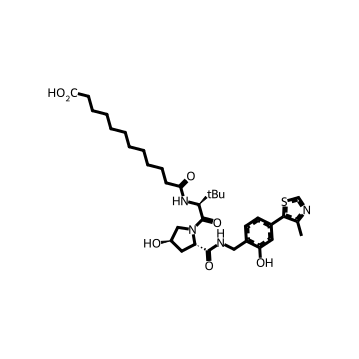 Cc1ncsc1-c1ccc(CNC(=O)[C@@H]2C[C@@H](O)CN2C(=O)[C@@H](NC(=O)CCCCCCCCCCC(=O)O)C(C)(C)C)c(O)c1